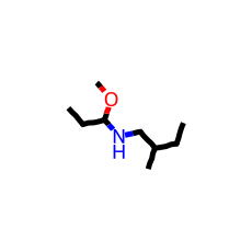 CCC(C)CNC(CC)OC